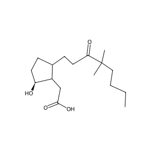 CCCCC(C)(C)C(=O)CCC1CC[C@H](O)C1CC(=O)O